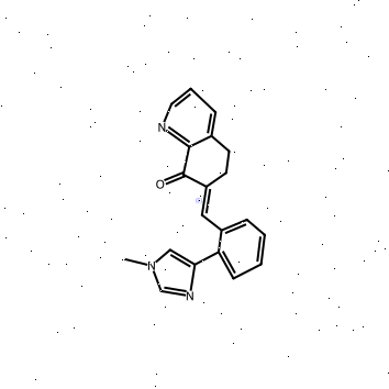 Cn1cnc(-c2ccccc2/C=C2\CCc3cccnc3C2=O)c1